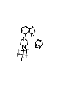 C1=CC2=CC=C1C2.FC(F)(F)C(F)(F)N1CCN(c2cccc3scnc23)CC1